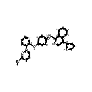 CNc1nccc(-c2cccnc2Oc2ccc(Nc3ncc(-c4cccs4)c4ccccc34)cc2)n1